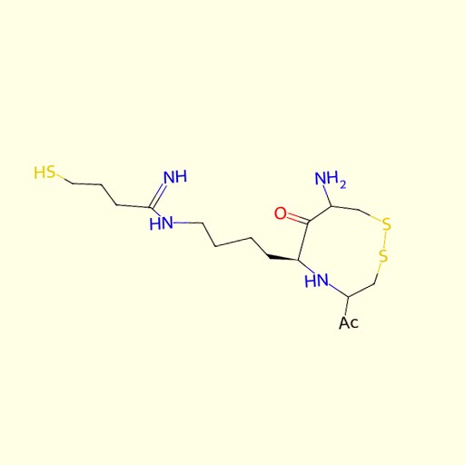 CC(=O)C1CSSCC(N)C(=O)[C@H](CCCCNC(=N)CCCS)N1